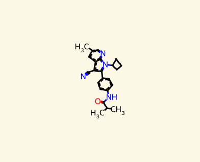 Cc1cnc2c(c1)c(C#N)c(-c1ccc(NC(=O)C(C)C)cc1)n2C1CCC1